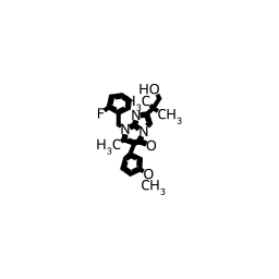 COc1cccc(-c2c(C)n(Cc3ccccc3F)c3nc(C(C)(C)CO)cn3c2=O)c1